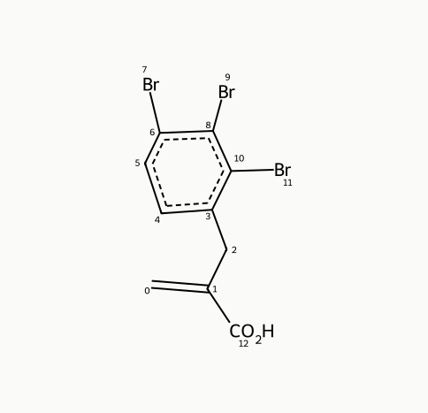 C=C(Cc1ccc(Br)c(Br)c1Br)C(=O)O